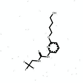 OCCCCOc1cccc(NC(=S)NCC(F)(F)F)n1